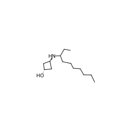 CCCCCCCC(CC)N[C@H]1C[C@H](O)C1